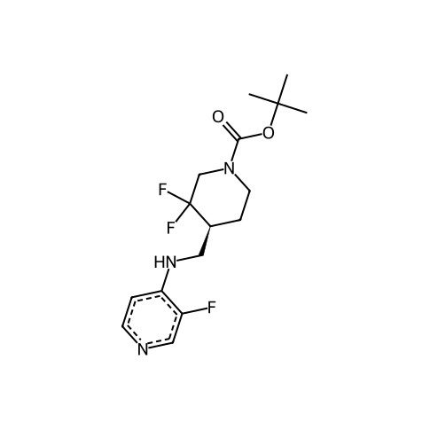 CC(C)(C)OC(=O)N1CC[C@@H](CNc2ccncc2F)C(F)(F)C1